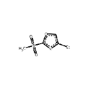 CCc1coc(S(C)(=O)=O)n1